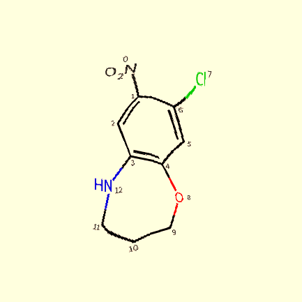 O=[N+]([O-])c1cc2c(cc1Cl)OCCCN2